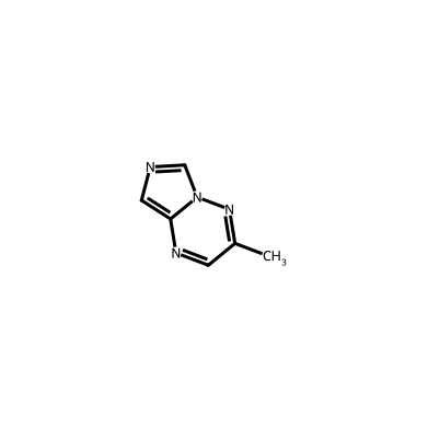 Cc1cnc2cncn2n1